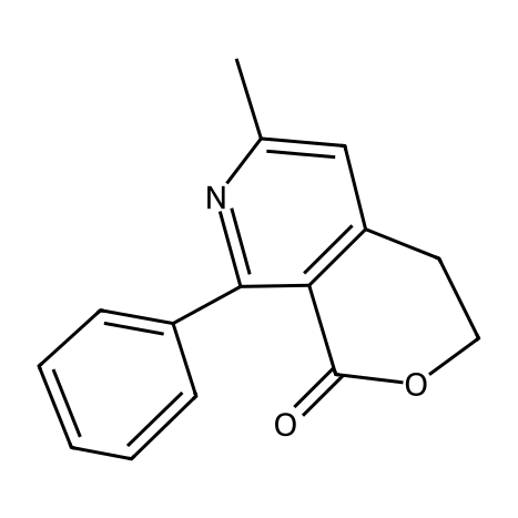 Cc1cc2c(c(-c3ccccc3)n1)C(=O)OCC2